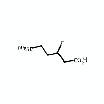 CCCCCCCC(F)CC(=O)O